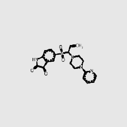 C=CC(N1CCN(c2ccccn2)CC1)S(=O)(=O)c1ccc2c(c1)C(=O)C(=O)N2